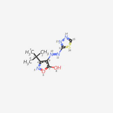 CC(C)(C)c1noc(O)c1N=Nc1nncs1